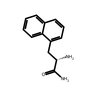 NC(=O)[C@@H](N)Cc1cccc2ccccc12